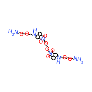 NCCOCCOCCCNc1ccc2c3c(cccc13)C(=O)N(CCOCCOCCN1C(=O)c3cccc4c(NCCOCCOCCN)ccc(c34)C1=O)C2=O